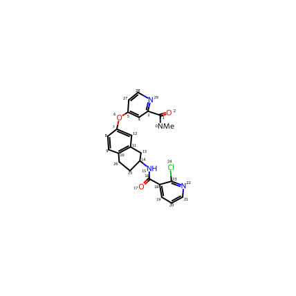 CNC(=O)c1cc(Oc2ccc3c(c2)CC(NC(=O)c2cccnc2Cl)CC3)ccn1